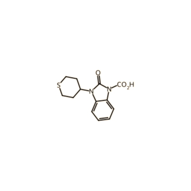 O=C(O)n1c(=O)n(C2CCSCC2)c2ccccc21